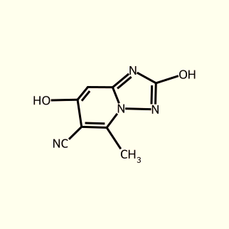 Cc1c(C#N)c(O)cc2nc(O)nn12